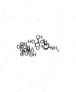 C#C[C@@]1(O)C(O)[C@@H](COP(=O)(O)OP(=O)(O)OP(=O)(O)O)O[C@H]1n1ccc(N)nc1=S